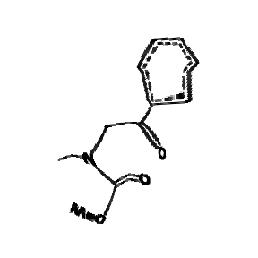 COC(=O)N(C)CC(=O)c1ccccc1